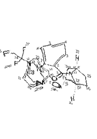 O=C(c1ccccc1-n1nccn1)N1[C@@H]2CC[C@H]1[C@H](Oc1ccc(C(F)(F)F)cn1)C2